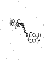 O=C(O)CN(CCCCCCCCN(CC(=O)O)CC(=O)O)CC(=O)O